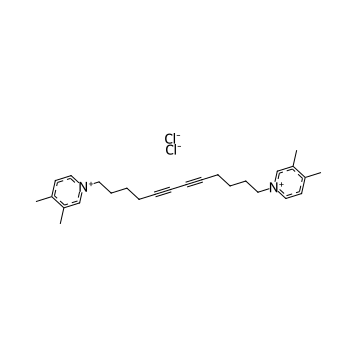 Cc1cc[n+](CCCCC#CC#CCCCC[n+]2ccc(C)c(C)c2)cc1C.[Cl-].[Cl-]